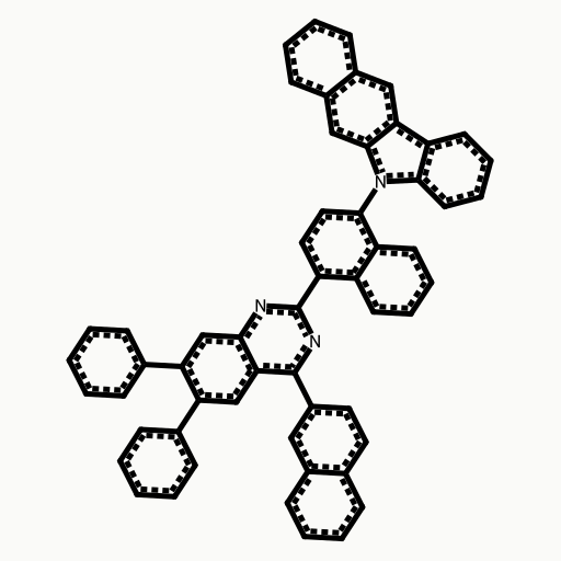 c1ccc(-c2cc3nc(-c4ccc(-n5c6ccccc6c6cc7ccccc7cc65)c5ccccc45)nc(-c4ccc5ccccc5c4)c3cc2-c2ccccc2)cc1